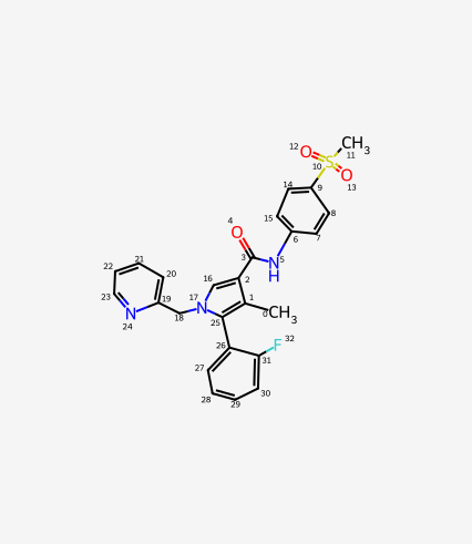 Cc1c(C(=O)Nc2ccc(S(C)(=O)=O)cc2)cn(Cc2ccccn2)c1-c1ccccc1F